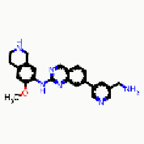 COc1cc2c(cc1Nc1ncc3ccc(-c4cncc(CN)c4)cc3n1)CNCC2